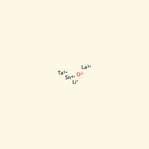 [La+3].[Li+].[O-2].[Sn+4].[Ta+5]